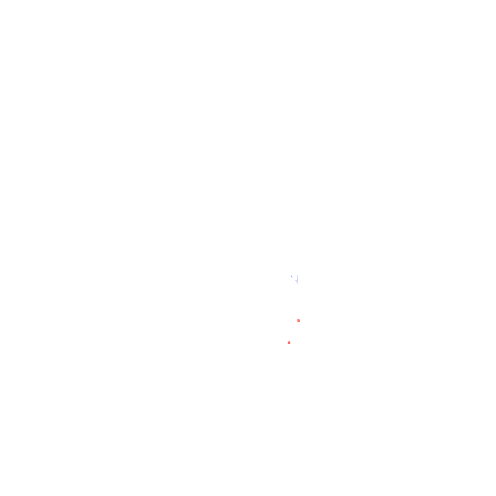 c1ccc(-c2ccccc2N(c2ccccc2)c2ccc3c(c2)C2(c4ccccc4-c4ccccc42)c2cc4c(ccc5ccccc54)cc2-3)cc1